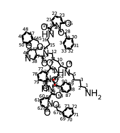 NCCCCCNC(=O)C(CCCN(CCCNC(=O)c1cccc(=O)n1OCc1ccccc1)C(=O)C1=CN=CC(=O)C1OCc1ccccc1)N(CCCNC(=O)c1cccc(=O)n1OCc1ccccc1)C(=O)c1cccc(=O)n1OCc1ccccc1